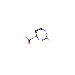 O=C(O)c1ccnc(O)n1